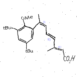 COc1c(\C(C)=C/C=C/C(C)=C/C(=O)O)cc(C(C)(C)C)cc1C(C)(C)C